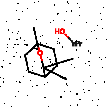 CC12CCC(CC1)C(C)(C)O2.CCCO